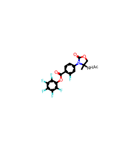 CC(=O)NC1(C)COC(=O)N1c1ccc(C(=O)Oc2c(F)c(F)c(F)c(F)c2F)c(F)c1